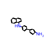 Nc1ccc(-c2ccc(Nc3cccc4ccccc34)cc2)cc1